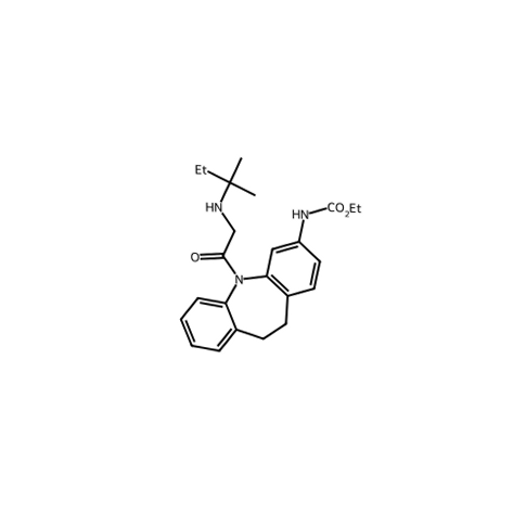 CCOC(=O)Nc1ccc2c(c1)N(C(=O)CNC(C)(C)CC)c1ccccc1CC2